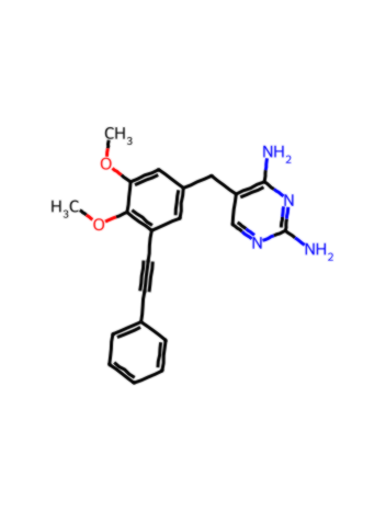 COc1cc(Cc2cnc(N)nc2N)cc(C#Cc2ccccc2)c1OC